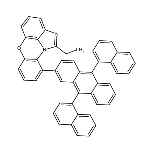 CCc1nc2cccc3c2n1-c1c(cccc1-c1ccc2c(-c4cccc5ccccc45)c4ccccc4c(-c4cccc5ccccc45)c2c1)O3